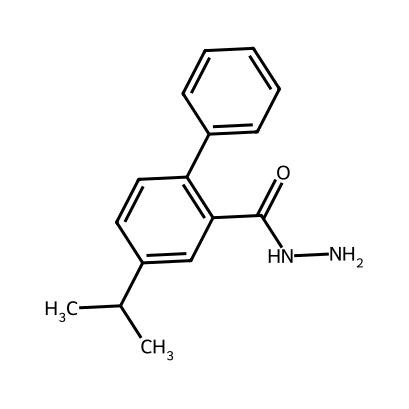 CC(C)c1ccc(-c2ccccc2)c(C(=O)NN)c1